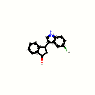 O=C1CC(c2c[nH]c3ccc(F)cc23)c2ccccc21